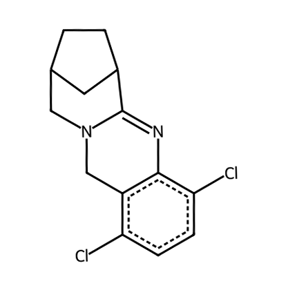 Clc1ccc(Cl)c2c1CN1CC3CCC(C3)C1=N2